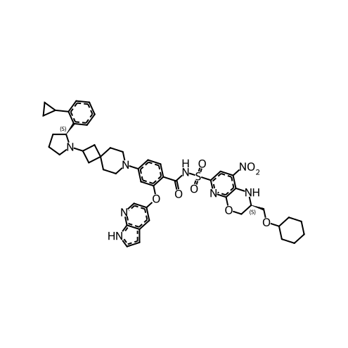 O=C(NS(=O)(=O)c1cc([N+](=O)[O-])c2c(n1)OC[C@H](COC1CCCCC1)N2)c1ccc(N2CCC3(CC2)CC(N2CCC[C@H]2c2ccccc2C2CC2)C3)cc1Oc1cnc2[nH]ccc2c1